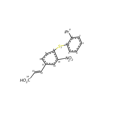 CC(C)c1ccccc1Sc1ccc(C=CC(=O)O)cc1[N+](=O)[O-]